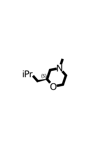 CC(C)C[C@H]1CN(C)CCO1